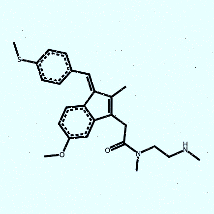 CNCCN(C)C(=O)CC1=C(C)/C(=C/c2ccc(SC)cc2)c2ccc(OC)cc21